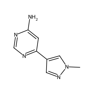 Cn1cc(-c2cc(N)ncn2)cn1